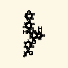 C=CC(=O)N1CCC[C@@H](Oc2nc(Nc3ccc(N4CCOCC4)cc3)nc3[nH]ccc23)C1